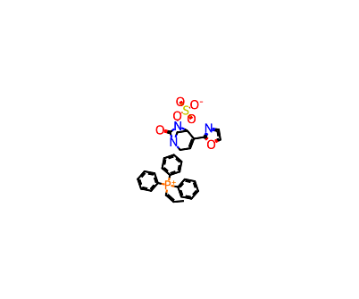 C/C=C\[P+](c1ccccc1)(c1ccccc1)c1ccccc1.O=C1N2CC=C(c3ncco3)C(C2)N1OS(=O)(=O)[O-]